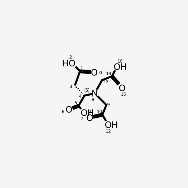 O=C(O)C[C@@H](C(=O)O)N(CC(=O)O)CC(=O)O